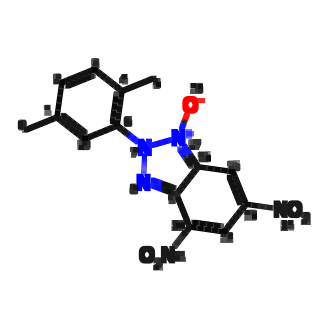 Cc1ccc(C)c(-n2nc3c([N+](=O)[O-])cc([N+](=O)[O-])cc3[n+]2[O-])c1